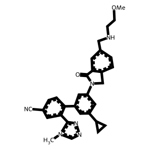 COCCNCc1ccc2c(c1)C(=O)N(c1cc(-c3ccc(C#N)cc3-c3nncn3C)cc(C3CC3)c1)C2